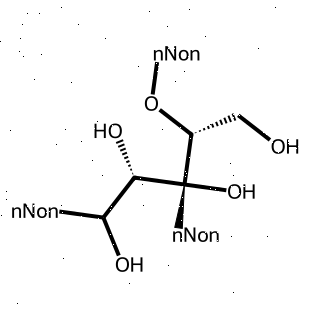 CCCCCCCCCO[C@H](CO)[C@@](O)(CCCCCCCCC)[C@@H](O)C(O)CCCCCCCCC